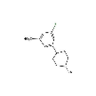 N#CB1CCC(c2cc(F)cc(C(=O)O)c2)CC1